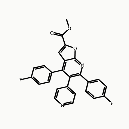 COC(=O)c1cc2c(-c3ccc(F)cc3)c(-c3ccncc3)c(-c3ccc(F)cc3)nc2o1